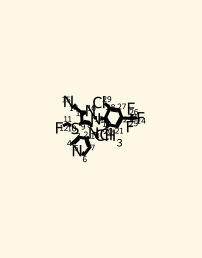 CN(c1ccncc1)c1c(SCF)c(C#N)nn1-c1c(Cl)cc(C(F)(F)F)cc1Cl